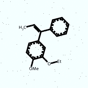 CC=C(c1ccccc1)c1ccc(OC)c(OCC)c1